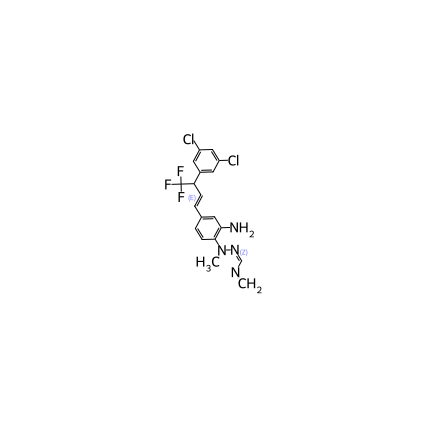 C=N/C=N\N(C)c1ccc(/C=C/C(c2cc(Cl)cc(Cl)c2)C(F)(F)F)cc1N